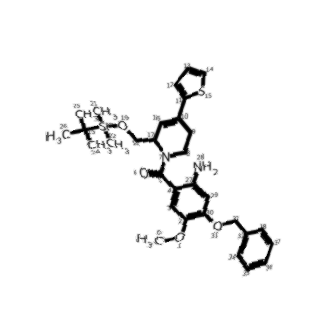 COc1cc(C(=O)N2CCC(c3cccs3)=CC2CO[Si](C)(C)C(C)(C)C)c(N)cc1OCc1ccccc1